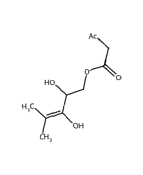 CC(=O)CC(=O)OCC(O)C(O)=C(C)C